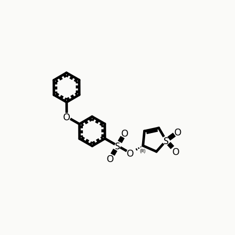 O=S1(=O)C=C[C@@H](OS(=O)(=O)c2ccc(Oc3ccccc3)cc2)C1